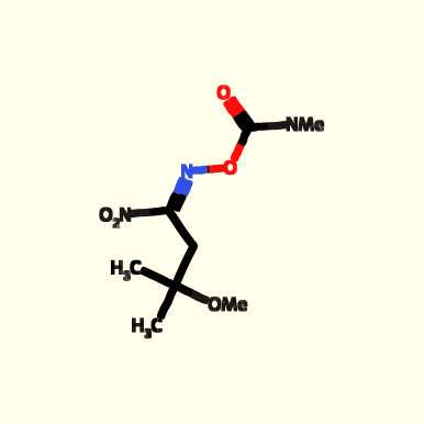 CNC(=O)ON=C(CC(C)(C)OC)[N+](=O)[O-]